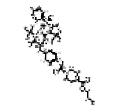 CCCOC(=O)N1CCN(C(=O)Oc2ccc(C[C@H](NC(=O)[C@H]3N(S(=O)(=O)c4cccnc4)CSC3(C)C)C(=O)OC(C)(C)C)cc2)CC1